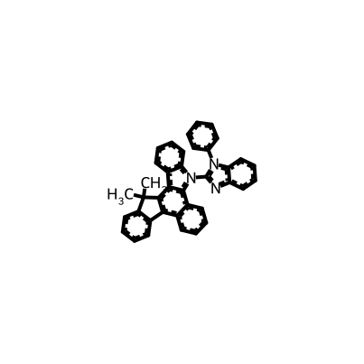 CC1(C)c2ccccc2-c2c1c1c3ccccc3n(-c3nc4ccccc4n3-c3ccccc3)c1c1ccccc21